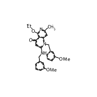 CCOc1nc(C)cc2c1c(=O)cc(NCc1cccc(OC)c1)n2Cc1cccc(OC)c1